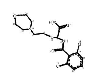 NC(=O)C(NC(=O)c1c(Cl)cccc1Cl)OCCN1CCOCC1